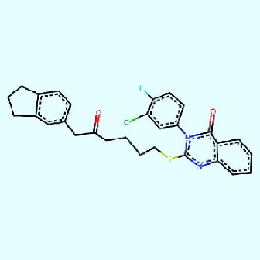 O=C(CCCCSc1nc2ccccc2c(=O)n1-c1ccc(F)c(Cl)c1)Cc1ccc2c(c1)CCC2